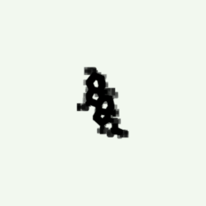 CCC(=O)O[C@H]1[C@H](Br)CC2C3C(CC[C@@H]21)[C@@]1(C)C=C[C@H](O)CC1C[C@@H]3O